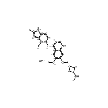 CN[C@H]1C[C@H](COc2cc3ncnc(Oc4ccc5[nH]c(C)cc5c4F)c3cc2OC)C1.Cl